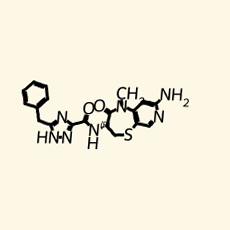 CN1C(=O)[C@@H](NC(=O)c2n[nH]c(Cc3ccccc3)n2)CSc2cnc(N)cc21